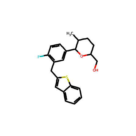 CC1CCC(CO)OC1c1ccc(F)c(Cc2cc3ccccc3s2)c1